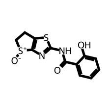 O=C(Nc1nc2c(s1)CC[S+]2[O-])c1ccccc1O